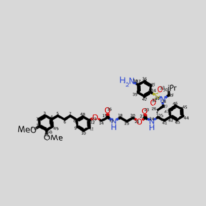 COc1ccc(CCCc2cccc(OCC(=O)NCCCOC(=O)N[C@H](CCN(CC(C)C)S(=O)(=O)c3ccc(N)cc3)Cc3ccccc3)c2)cc1OC